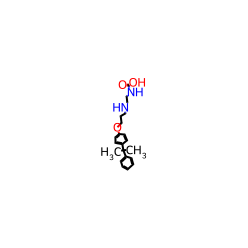 CC(C)(c1ccccc1)c1ccc(OCCCNCCNC(=O)O)cc1